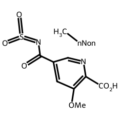 CCCCCCCCCC.COc1cc(C(=O)N=S(=O)=O)cnc1C(=O)O